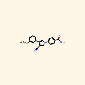 COc1cccc(-c2cn(-c3ccc(C(N)=O)cc3)cc2C#N)c1